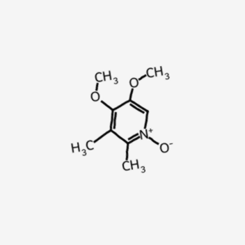 COc1c[n+]([O-])c(C)c(C)c1OC